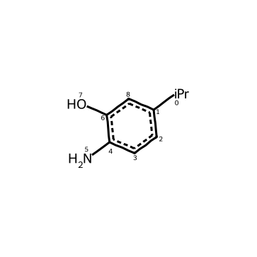 CC(C)c1ccc(N)c(O)c1